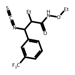 CCONC(=O)C(CC)C(N=C=S)c1cccc(C(F)(F)F)c1